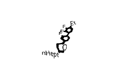 CCCCCCCC1CCC(c2ccc(-c3ccc(CC)c(F)c3F)c(F)c2)OC1